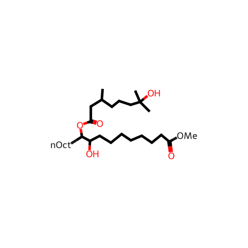 CCCCCCCCC(OC(=O)CC(C)CCCC(C)(C)O)C(O)CCCCCCCC(=O)OC